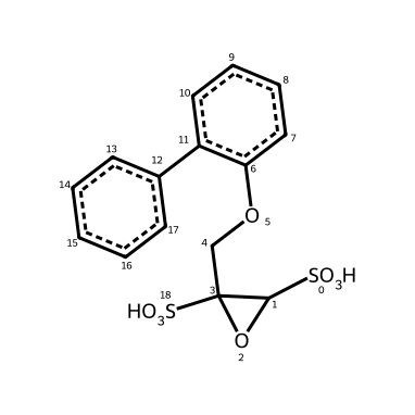 O=S(=O)(O)C1OC1(COc1ccccc1-c1ccccc1)S(=O)(=O)O